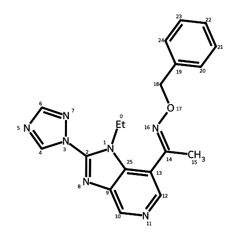 CCn1c(-n2cncn2)nc2cncc(C(C)=NOCc3ccccc3)c21